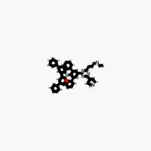 C=C/N=C\C=C\c1nc(-c2ccncc2)nc(-c2cc(-c3ccccc3)c(-n3c4ccc(-c5ccccc5)cc4c4cc(-c5ccccc5)ccc43)c(-c3ccccc3)c2)n1